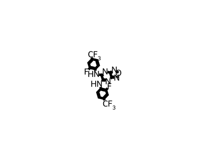 Fc1cc(C(F)(F)F)ccc1Nc1nc2nonc2nc1Nc1ccc(C(F)(F)F)cc1F